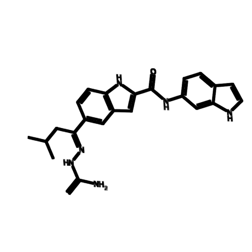 C=C(N)NN=C(CC(C)C)c1ccc2[nH]c(C(=O)Nc3ccc4cc[nH]c4c3)cc2c1